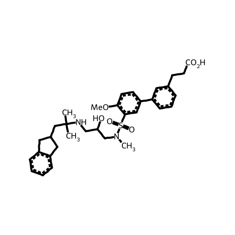 COc1ccc(-c2cccc(CCC(=O)O)c2)cc1S(=O)(=O)N(C)CC(O)CNC(C)(C)CC1Cc2ccccc2C1